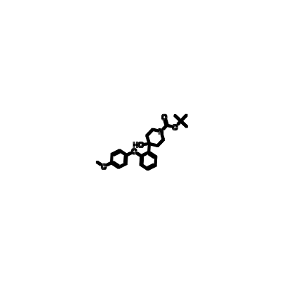 COc1ccc(Oc2ccccc2C2(O)CCN(C(=O)OC(C)(C)C)CC2)cc1